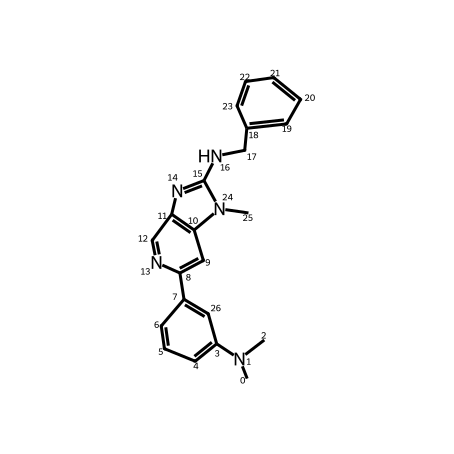 CN(C)c1cccc(-c2cc3c(cn2)nc(NCc2ccccc2)n3C)c1